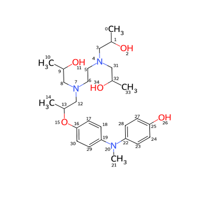 CC(O)CN(CCN(CC(C)O)CC(C)Oc1ccc(N(C)c2ccc(O)cc2)cc1)CC(C)O